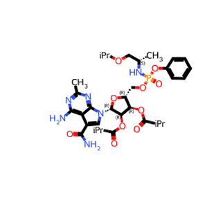 Cc1nc(N)c2c(C(N)=O)cn([C@@H]3O[C@H](COP(=O)(N[C@@H](C)COC(C)C)Oc4ccccc4)[C@@H](OC(=O)C(C)C)[C@H]3OC(=O)C(C)C)c2n1